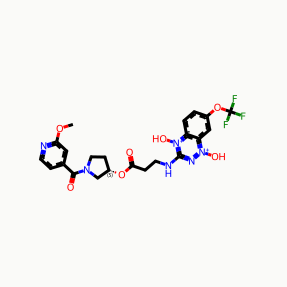 COc1cc(C(=O)N2CC[C@H](OC(=O)CCNc3n[n+](O)c4cc(OC(F)(F)F)ccc4[n+]3O)C2)ccn1